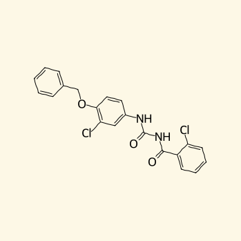 O=C(NC(=O)c1ccccc1Cl)Nc1ccc(OCc2ccccc2)c(Cl)c1